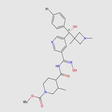 CC(C)c1ccc([C@](O)(c2cncc(C(=NO)NC(=O)C3CCN(C(=O)OC(C)(C)C)CC3C)c2)C2(C)CN(C)C2)cc1